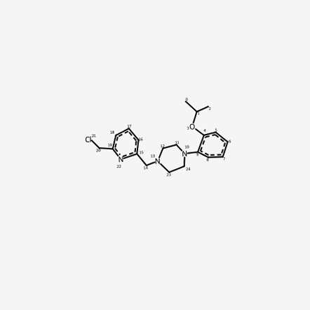 CC(C)Oc1ccccc1N1CCN(Cc2cccc(CCl)n2)CC1